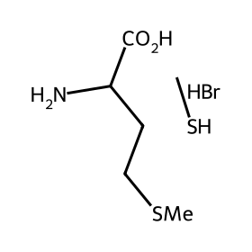 Br.CS.CSCCC(N)C(=O)O